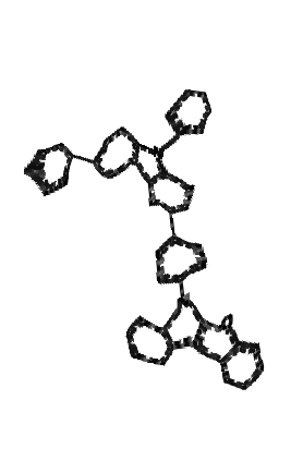 c1ccc(-c2ccc3c(c2)c2cc(-c4ccc(-n5c6ccccc6c6c7ccccc7oc65)cc4)ccc2n3-c2ccccc2)cc1